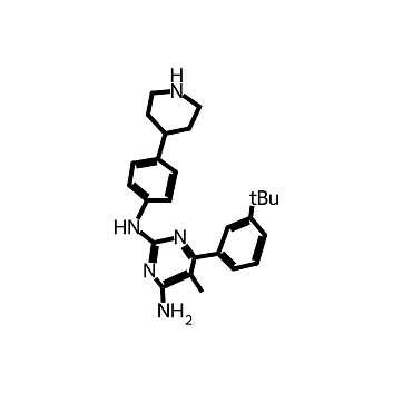 Cc1c(N)nc(Nc2ccc(C3CCNCC3)cc2)nc1-c1cccc(C(C)(C)C)c1